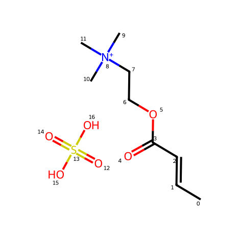 CC=CC(=O)OCC[N+](C)(C)C.O=S(=O)(O)O